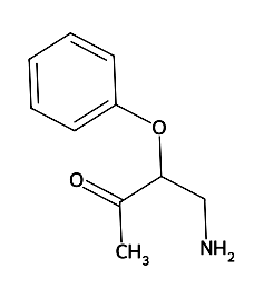 CC(=O)C(CN)Oc1ccccc1